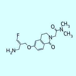 CN(C)C(=O)CN1CCc2cc(OC/C(=C\F)CN)ccc2C1=O